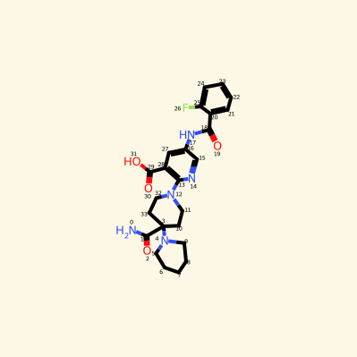 NC(=O)C1(N2CCCCC2)CCN(c2ncc(NC(=O)c3ccccc3F)cc2C(=O)O)CC1